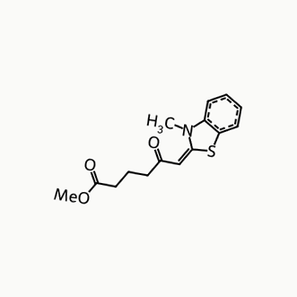 COC(=O)CCCC(=O)C=C1Sc2ccccc2N1C